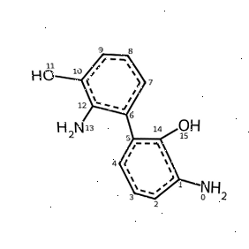 Nc1cccc(-c2cccc(O)c2N)c1O